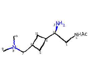 CC(=O)NC[C@H](N)C1CC(CN(C)C)C1